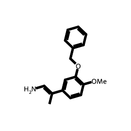 COc1ccc(/C(C)=C/N)cc1OCc1ccccc1